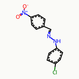 O=[N+]([O-])c1ccc(C=NNc2ccc(Cl)cc2)cc1